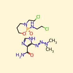 CN(C)/N=N/c1[nH]cnc1C(N)=O.O=P1(NCCCl)OCCCN1CCCl